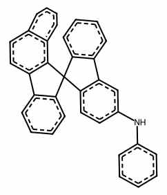 c1ccc(Nc2ccc3c(c2)-c2ccccc2C32c3ccccc3-c3ccc4ccccc4c32)cc1